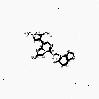 Cc1nn(C)cc1-c1cnc(NCc2c(F)ccc3c2CCO3)n2cc(C#N)nc12